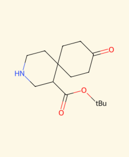 CC(C)(C)OC(=O)C1CNCCC12CCC(=O)CC2